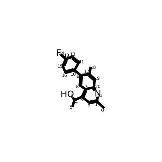 Cc1cc(C(C)O)c2cc(-c3ccc(F)cc3)c(C)cc2n1